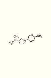 CN(C)[C@H]1CCN(c2ccc(N)nc2)C1